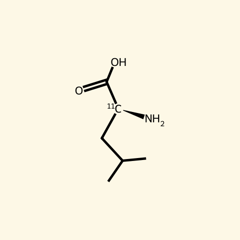 CC(C)C[11C@H](N)C(=O)O